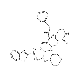 O=C(NCc1ccccc1)C(=O)[C@H](C[C@@H]1CCCNC1=O)NC(=O)[C@H](CC1CCCCC1)NC(=O)c1cc2ccccc2s1